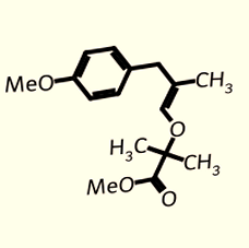 COC(=O)C(C)(C)OC=C(C)Cc1ccc(OC)cc1